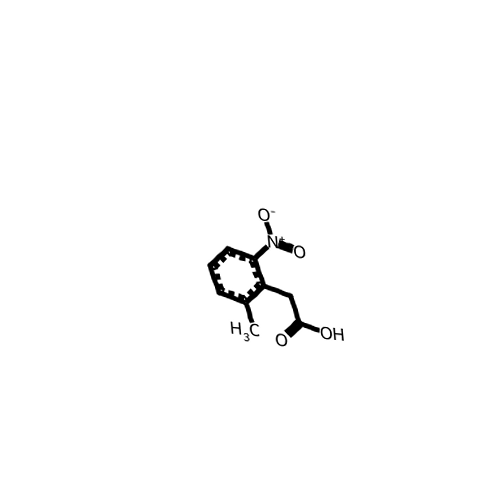 Cc1cccc([N+](=O)[O-])c1CC(=O)O